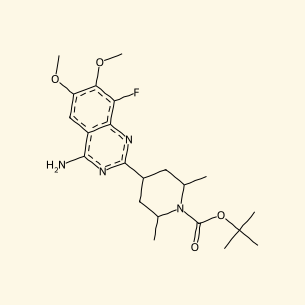 COc1cc2c(N)nc(C3CC(C)N(C(=O)OC(C)(C)C)C(C)C3)nc2c(F)c1OC